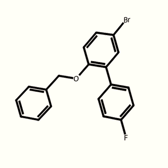 Fc1ccc(-c2cc(Br)ccc2OCc2ccccc2)cc1